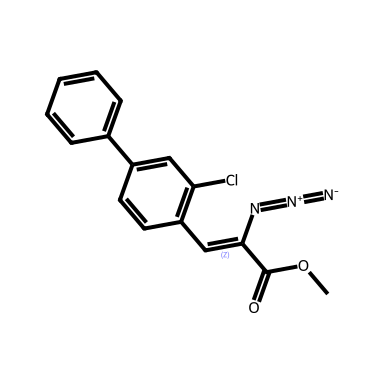 COC(=O)/C(=C/c1ccc(-c2ccccc2)cc1Cl)N=[N+]=[N-]